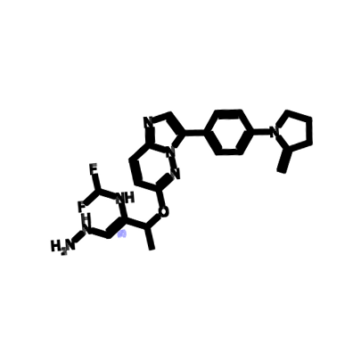 C=C1CCCN1c1ccc(-c2cnc3ccc(OC(C)/C(=C/NN)NC(F)F)nn23)cc1